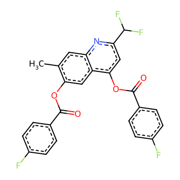 Cc1cc2nc(C(F)F)cc(OC(=O)c3ccc(F)cc3)c2cc1OC(=O)c1ccc(F)cc1